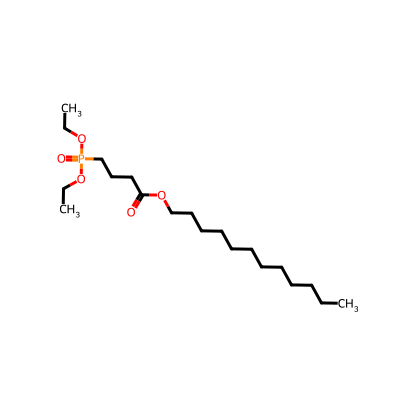 CCCCCCCCCCCCOC(=O)CCCP(=O)(OCC)OCC